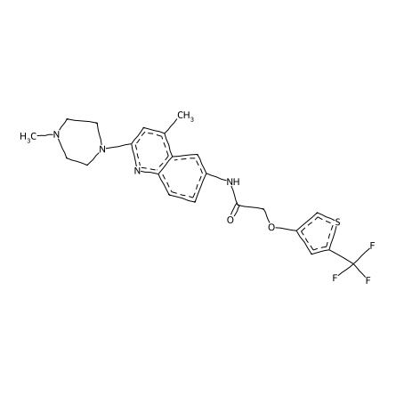 Cc1cc(N2CCN(C)CC2)nc2ccc(NC(=O)COc3csc(C(F)(F)F)c3)cc12